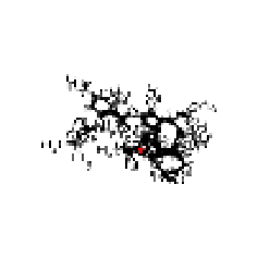 CC(=O)O[C@@H]1C2[C@@H]3CO[C@@H]3C[C@H](O)[C@@]3(C)[C@@H](O)[C@@H](OC(C)=O)C4=C(C)[C@@H](OC(=O)[C@H](O)[C@H](CC(C)C)NC(=O)OC(C)(C)C)C[C@@]4(C(C)(C)O)[C@@H](O)[C@]213